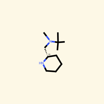 CN(C[C@@H]1CCCCN1)C(C)(C)C